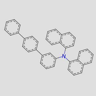 c1ccc(-c2ccc(-c3cccc(N(c4cccc5ccccc45)c4cccc5ccccc45)c3)cc2)cc1